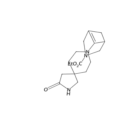 CCOC(=O)N1CC2=C(N3CCC4(CC3)CNC(=O)C4)C(C2)C1